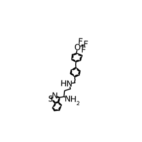 NC(CCNCc1ccc(-c2ccc(OC(F)(F)F)cc2)cc1)c1nsc2ccccc12